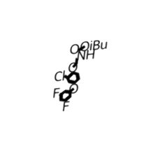 CC(C)COC(=O)NCCOc1ccc(Oc2cc(F)cc(F)c2)cc1Cl